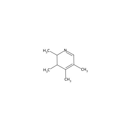 CC1=C(C)C(C)C(C)N=C1